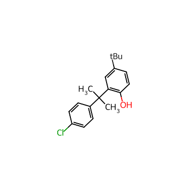 CC(C)(C)c1ccc(O)c(C(C)(C)c2ccc(Cl)cc2)c1